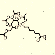 COC(=O)CCCCCCO[C@@H]1OC(COC(C)=O)[C@H](OC(C)=O)C(OC(C)=O)C1NC(C)=O